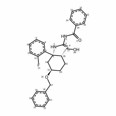 O=C(NC(=S)N[C@@]1(c2ccccc2F)C[C@H](OCc2ccccc2)CC[C@H]1CO)c1ccccc1